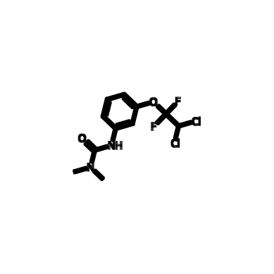 CN(C)C(=O)Nc1cccc(OC(F)(F)C(Cl)Cl)c1